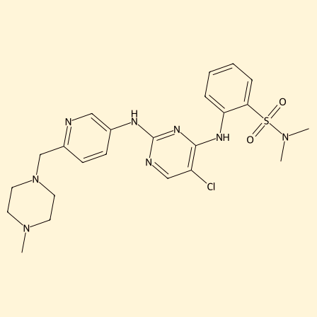 CN1CCN(Cc2ccc(Nc3ncc(Cl)c(Nc4ccccc4S(=O)(=O)N(C)C)n3)cn2)CC1